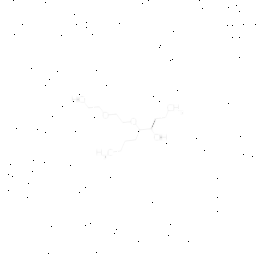 CCC=C(O)C(CCCC)OCCOCCO